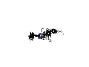 C=C(C#Cc1cnc2ccncn12)/C=N\C=C(/C)C(=O)Nc1ccc(CN2CCN(C)CC2)c(C(F)(F)F)c1